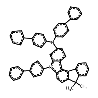 CC1(C)c2ccccc2-c2c1ccc1c2c2ccc(N(c3ccc(-c4ccccc4)cc3)c3ccc(-c4ccccc4)cc3)cc2n1-c1ccc(-c2ccccc2)cc1